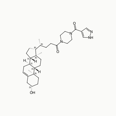 C[C@H](CCC(=O)N1CCN(C(=O)c2cn[nH]c2)CC1)[C@H]1CC[C@H]2[C@@H]3CC=C4C[C@@H](O)CC[C@]4(C)[C@H]3CC[C@]12C